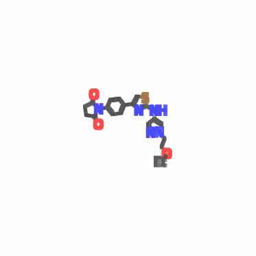 CCOCCn1cc(Nc2nc(-c3ccc(N4C(=O)CCC4=O)cc3)cs2)cn1